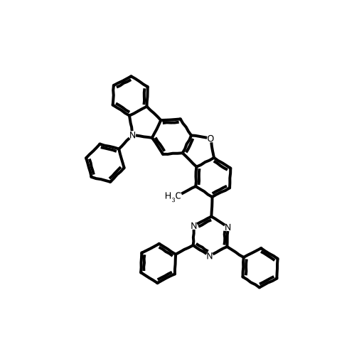 Cc1c(-c2nc(-c3ccccc3)nc(-c3ccccc3)n2)ccc2oc3cc4c5ccccc5n(-c5ccccc5)c4cc3c12